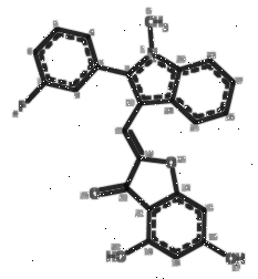 Cn1c(-c2cccc(F)c2)c(C=C2Oc3cc(O)cc(O)c3C2=O)c2ccccc21